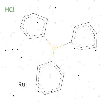 Cl.[Ru].c1ccc(P(c2ccccc2)c2ccccc2)cc1